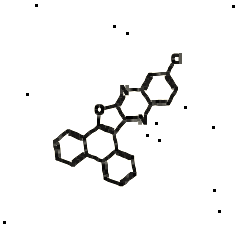 Clc1ccc2nc3c(nc2c1)oc1c2ccccc2c2ccccc2c31